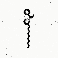 CCCCCCCCCCc1ccc[n+](C(CC)c2ccccc2)c1